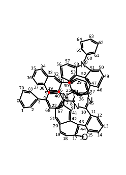 c1ccc(-c2ccc(-c3nc(-c4cccc5oc6ccc7ccc(-n8c9ccccc9c9cc%10ccccc%10cc98)cc7c6c45)nc(-c4cccc5c4c4ccccc4n5-c4ccccc4)n3)cc2)cc1